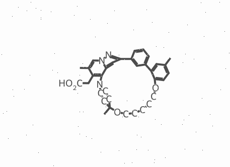 Cc1ccc2c(c1)-c1cccc(c1)-c1cc3c(c(CC(=O)O)c(C)cn3n1)N1CCC(C)(CC1)OCCCCCO2